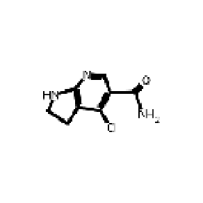 NC(=O)c1cnc2c(c1Cl)CCN2